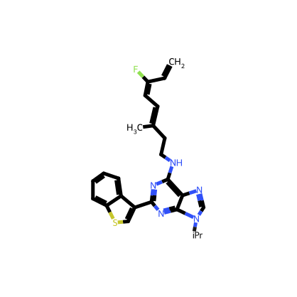 C=C/C(F)=C\C=C(/C)CCNc1nc(-c2csc3ccccc23)nc2c1ncn2C(C)C